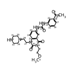 COCCn1c(=O)c2cc(NC(=O)Nc3cccc(C(C)=O)c3)ccc2n(CCN2CCNCC2)c1=O